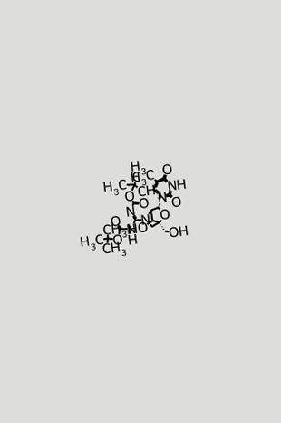 Cc1cn([C@@H]2O[C@@]3(CO)CN(/C(=N\C(=O)OC(C)(C)C)NC(=O)OC(C)(C)C)C2C3O)c(=O)[nH]c1=O